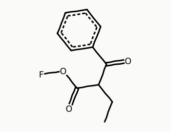 CCC(C(=O)OF)C(=O)c1ccccc1